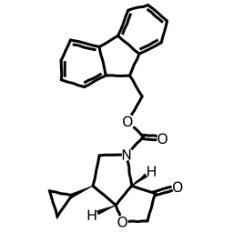 O=C1CO[C@@H]2[C@@H](C3CC3)CN(C(=O)OCC3c4ccccc4-c4ccccc43)[C@H]12